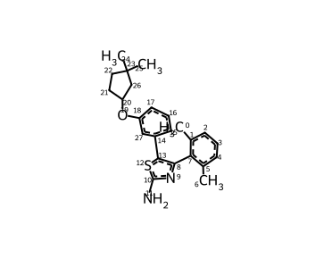 Cc1cccc(C)c1-c1nc(N)sc1-c1cccc(OC2CCC(C)(C)C2)c1